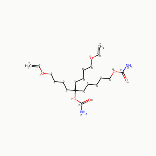 C=COCCCCC(CCCCCOC(N)=O)(CCCCOC=C)OC(N)=O